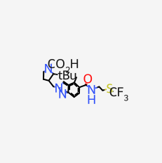 Cc1c(C(=O)NCCSC(F)(F)F)ccc2nn(CC3CCN(C(=O)O)C3C(C)(C)C)cc12